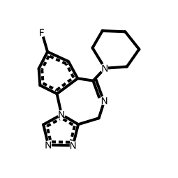 Fc1ccc2c(c1)C(N1CCCCC1)=NCc1nncn1-2